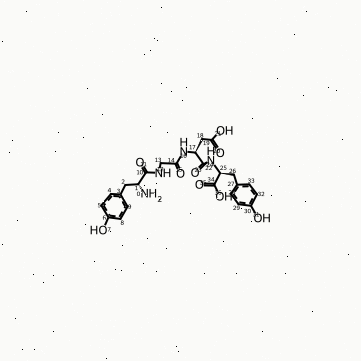 N[C@H](Cc1ccc(O)cc1)C(=O)NCC(=O)N[C@@H](CC(=O)O)C(=O)N[C@@H](Cc1ccc(O)cc1)C(=O)O